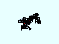 O=C(NC(C(=O)O[C@H]1CN2CCC1CC2)c1ccccc1)c1cccc(S(=O)(=O)N2CCS[C@]2(C(=O)O)[C@@H](Cc2c(Cl)c[n+]([O-])cc2Cl)c2ccc(OC(F)F)c(OCC3CC3)c2)c1